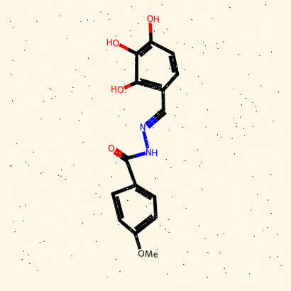 COc1ccc(C(=O)NN=Cc2ccc(O)c(O)c2O)cc1